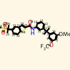 COc1cc(OC(F)(F)F)cc(C(C)(C)c2cccc(NC(=O)c3cc4cc(C(C)(C)S(C)(=O)=O)ccc4s3)c2)c1